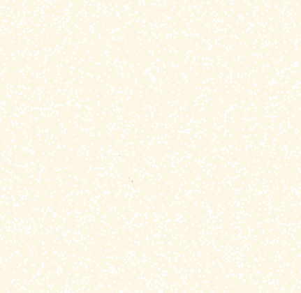 COc1ccc(CCc2ccc(F)c(-n3c(=O)[nH]c4csc(C(=O)O)c4c3=O)c2)cc1